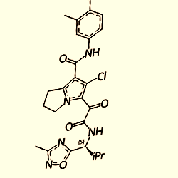 Cc1noc([C@@H](NC(=O)C(=O)c2c(Cl)c(C(=O)Nc3ccc(F)c(C)c3)c3n2CCC3)C(C)C)n1